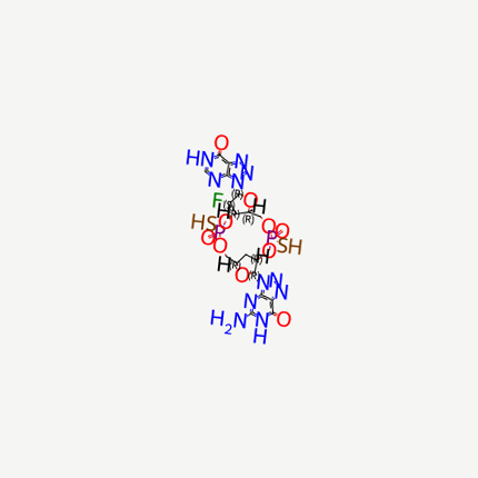 Nc1nc2c(nnn2[C@@H]2O[C@H]3COP(=O)(S)O[C@H]4[C@H](F)[C@H](n5nnc6c(=O)[nH]cnc65)O[C@@H]4COP(=O)(S)O[C@@H]2C3)c(=O)[nH]1